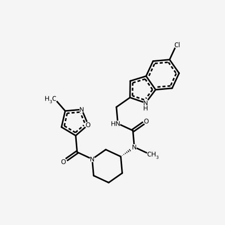 Cc1cc(C(=O)N2CCC[C@@H](N(C)C(=O)NCc3cc4cc(Cl)ccc4[nH]3)C2)on1